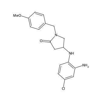 COc1ccc(CN2CC(Nc3ccc(Cl)cc3N)CC2=O)cc1